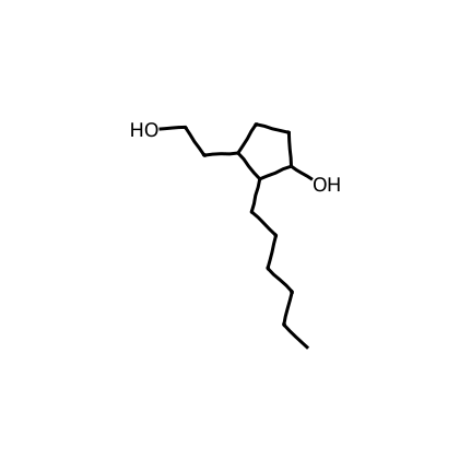 CCCCCCC1C(O)CCC1CCO